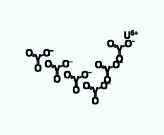 [O]=[V](=[O])[O-].[O]=[V](=[O])[O-].[O]=[V](=[O])[O-].[O]=[V](=[O])[O-].[O]=[V](=[O])[O-].[O]=[V](=[O])[O-].[U+6]